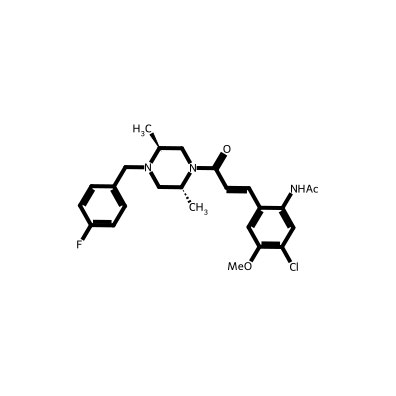 COc1cc(/C=C/C(=O)N2C[C@H](C)N(Cc3ccc(F)cc3)C[C@H]2C)c(NC(C)=O)cc1Cl